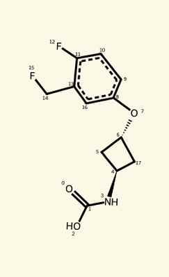 O=C(O)N[C@H]1C[C@H](Oc2ccc(F)c(CF)c2)C1